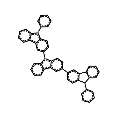 c1ccc(C2c3ccccc3-c3cc(-c4ccc5c(c4)c4ccccc4n5-c4ccc5c(c4)c4ccccc4n5-c4ccccc4)ccc32)cc1